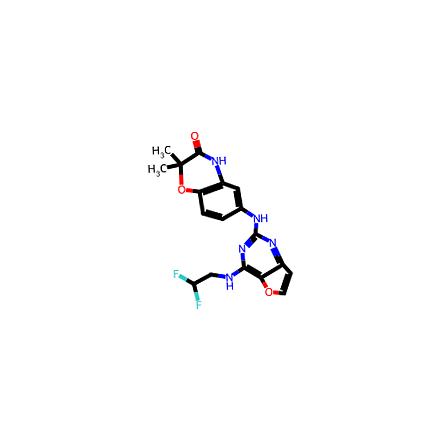 CC1(C)Oc2ccc(Nc3nc(NCC(F)F)c4occc4n3)cc2NC1=O